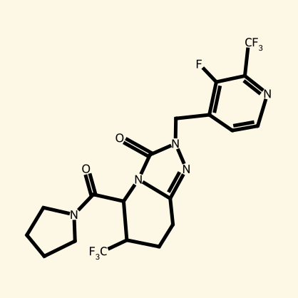 O=C(C1C(C(F)(F)F)CCc2nn(Cc3ccnc(C(F)(F)F)c3F)c(=O)n21)N1CCCC1